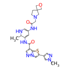 CC1NC=C(NC(=O)CN2CCC3(COC3)C2)C=C1NC(=O)c1cnn2cc(-c3cnn(C)c3)sc12